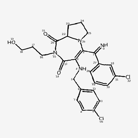 N=C(C1=C(NCc2ccc(Cl)cc2)C(=O)N(CCCO)C(=O)C2CCCN12)c1cccc(Cl)c1